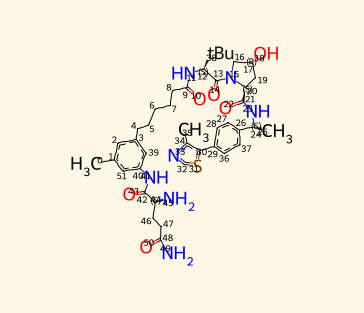 Cc1cc(CCCCCC(=O)N[C@H](C(=O)N2C[C@H](O)C[C@H]2C(=O)N[C@@H](C)c2ccc(-c3scnc3C)cc2)C(C)(C)C)cc(NC(=O)[C@@H](N)CCC(N)=O)c1